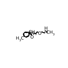 CNCCOCCNC(=O)C1(C)C=CC=C(C)C=C1